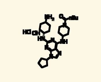 CCCCC(=O)N1CCC(Nc2nc(N[C@H]3CC[C@H](N)CC3)nc3c2ncn3C2CCCC2)CC1.Cl.Cl